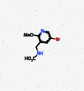 COc1ncc(Br)cc1CNC(=O)O